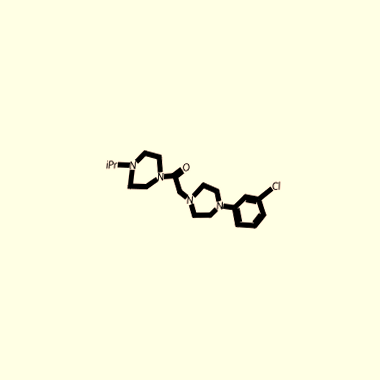 CC(C)N1CCN(C(=O)CN2CCN(c3cccc(Cl)c3)CC2)CC1